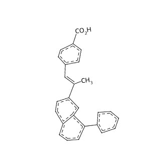 C/C(=C\c1ccc(C(=O)O)cc1)c1ccc2cccc(-c3ccccc3)c2c1